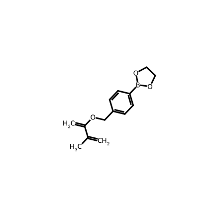 C=C(C)C(=C)OCc1ccc(B2OCCO2)cc1